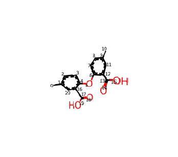 Cc1ccc(Oc2ccc(C)cc2C(=O)O)c(C(=O)O)c1